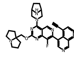 C#Cc1cccc2cncc(-c3ncc4c(N5CC6CCC(C5)N6)nc(OCC56CCCN5CCC6)nc4c3F)c12